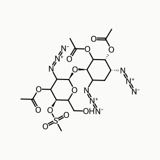 CC(=O)OC1C(N=[N+]=[N-])[C@@H](O[C@@H]2C(N=[N+]=[N-])C[C@@H](N=[N+]=[N-])[C@@H](OC(C)=O)C2OC(C)=O)OC(CO)[C@H]1OS(C)(=O)=O